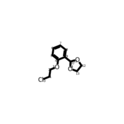 ClCCOc1ccccc1C1OCCO1